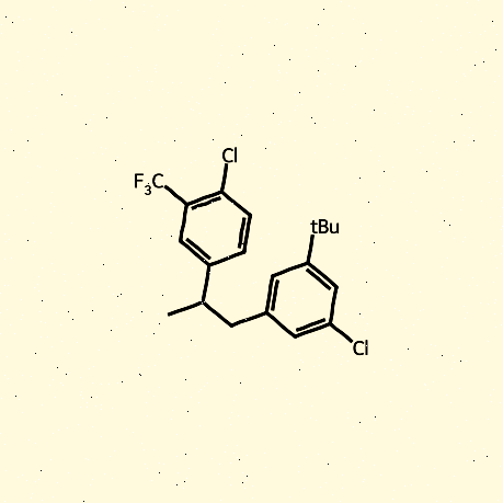 CC(Cc1cc(Cl)cc(C(C)(C)C)c1)c1ccc(Cl)c(C(F)(F)F)c1